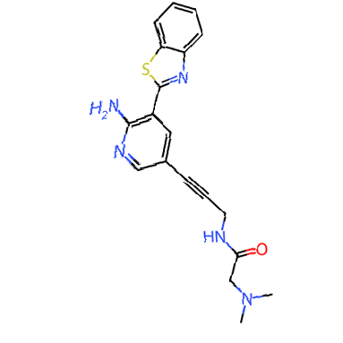 CN(C)CC(=O)NCC#Cc1cnc(N)c(-c2nc3ccccc3s2)c1